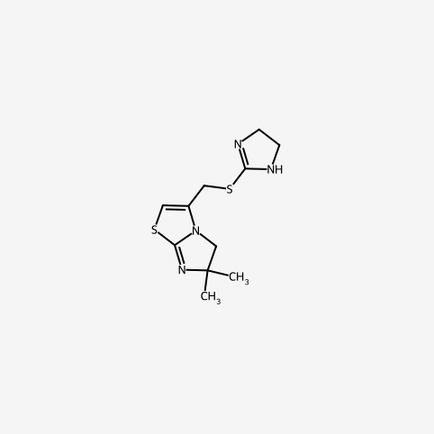 CC1(C)CN2C(CSC3=NCCN3)=CSC2=N1